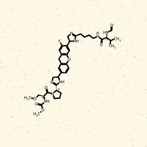 COC[C@H](NC(=O)OC)C(=O)N1CCC[C@H]1C1=NCC(c2ccc3c(c2)Cc2cc(F)c(C4CN=C(CCCCNC(=O)[C@@H](NC=O)C(C)C)N4)cc2O3)N1